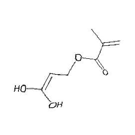 C=C(C)C(=O)OCC=C(O)O